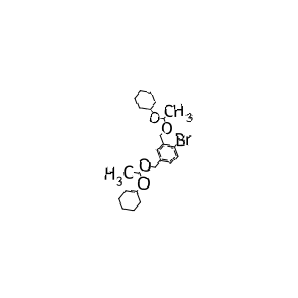 CC(OCc1ccc(Br)c(COC(C)OC2CCCCC2)c1)OC1CCCCC1